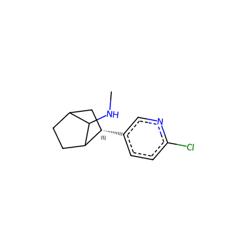 CNC1C2CCC1[C@@H](c1ccc(Cl)nc1)C2